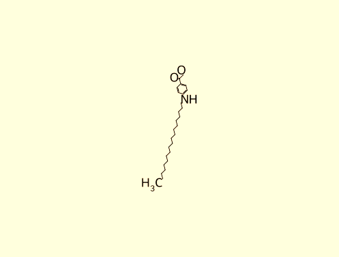 CCCCCCCCCCCCCCCCCCCNc1ccc(C(=O)C=O)cc1